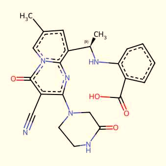 Cc1cc([C@@H](C)Nc2ccccc2C(=O)O)c2nc(N3CCNC(=O)C3)c(C#N)c(=O)n2c1